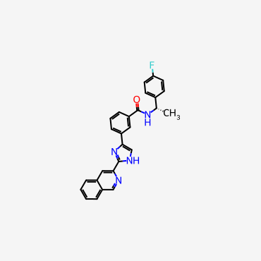 C[C@H](NC(=O)c1cccc(-c2c[nH]c(-c3cc4ccccc4cn3)n2)c1)c1ccc(F)cc1